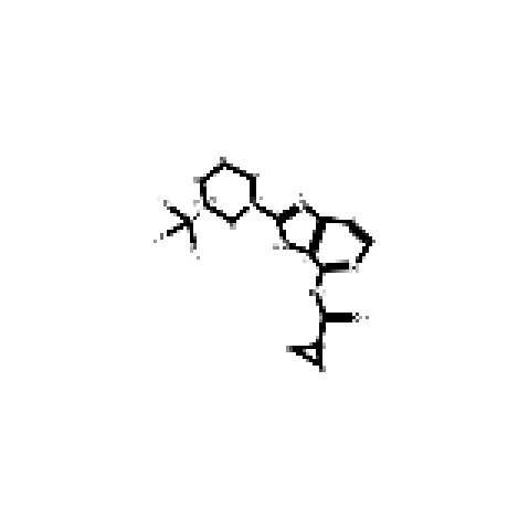 O=C(Nc1nccc2nc(N3CCC[C@@H](C(F)(F)F)C3)sc12)C1CC1